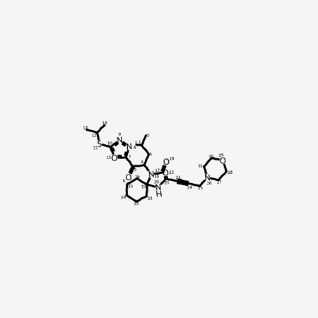 CC(C)CC(C(=O)c1nnc(SC(C)C)o1)N(C=O)C1(NC(=O)C#CCN2CCOCC2)CCCCC1